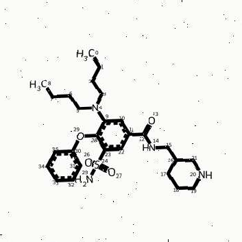 CCCCN(CCCC)c1cc(C(=O)NCC2CCCNC2)cc(S(N)(=O)=O)c1Oc1ccccc1